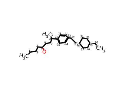 CCCCC([O])CCC(C)c1ccc(CC[C@H]2CC[C@H](CC)CC2)cc1